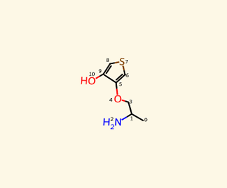 CC(N)COc1cscc1O